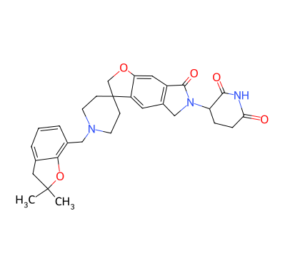 CC1(C)Cc2cccc(CN3CCC4(CC3)COc3cc5c(cc34)CN(C3CCC(=O)NC3=O)C5=O)c2O1